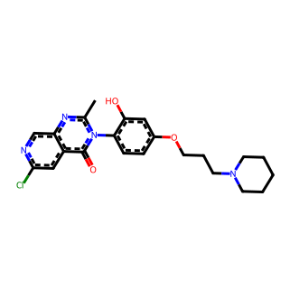 Cc1nc2cnc(Cl)cc2c(=O)n1-c1ccc(OCCCN2CCCCC2)cc1O